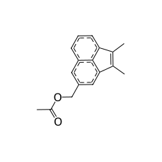 CC(=O)OCc1cc2c3c(cccc3c1)C(C)=C2C